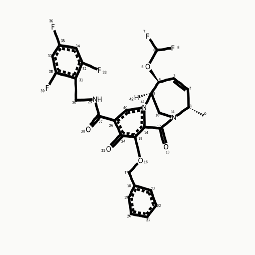 C[C@H]1C=C[C@H](OC(F)F)[C@H]2CN1C(=O)c1c(OCc3ccccc3)c(=O)c(C(=O)NCc3c(F)cc(F)cc3F)cn12